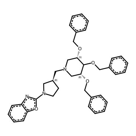 c1ccc(COC2[C@@H](OCc3ccccc3)CN(C[C@H]3CCN(c4nc5ccccc5o4)C3)C[C@H]2OCc2ccccc2)cc1